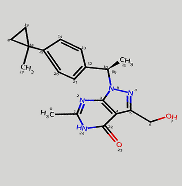 Cc1nc2c(c(CO)nn2[C@H](C)c2ccc(C3(C)CC3)cc2)c(=O)[nH]1